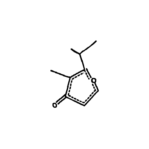 Cc1c(C(C)C)occc1=O